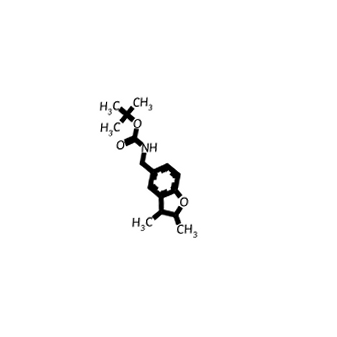 CC1Oc2ccc(CNC(=O)OC(C)(C)C)cc2C1C